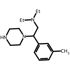 CCN(CC)CC(c1cccc(C)c1)N1CCNCC1